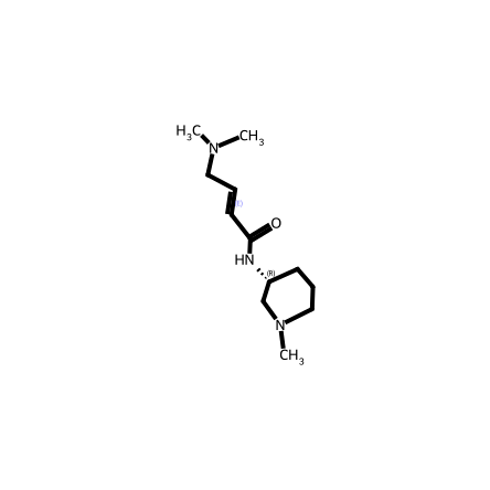 CN(C)C/C=C/C(=O)N[C@@H]1CCCN(C)C1